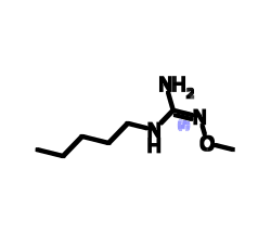 CCCCCN/C(N)=N\OC